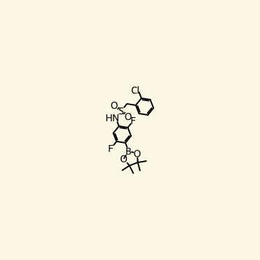 CC1(C)OB(c2cc(F)c(NS(=O)(=O)Cc3ccccc3Cl)cc2F)OC1(C)C